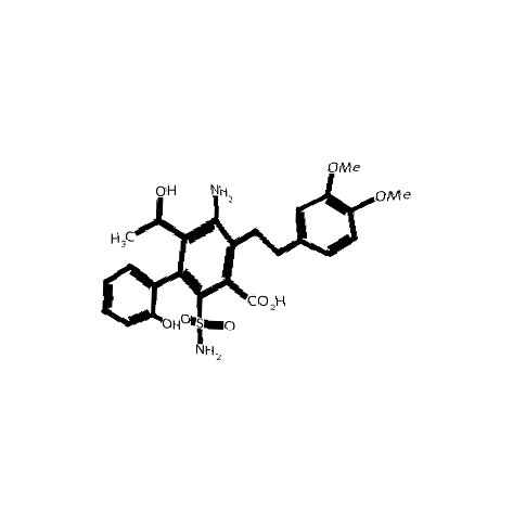 COc1ccc(CCc2c(N)c(C(C)O)c(-c3ccccc3O)c(S(N)(=O)=O)c2C(=O)O)cc1OC